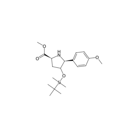 COC(=O)[C@@H]1CC(O[Si](C)(C)C(C)(C)C)[C@H](c2ccc(OC)cc2)N1